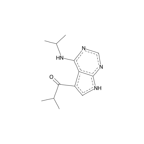 CC(C)Nc1ncnc2[nH]cc(C(=O)C(C)C)c12